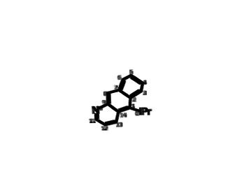 CC(C)c1c2ccccc2cc2ncccc12